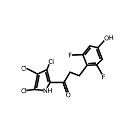 O=C(CCc1c(F)cc(O)cc1F)c1[nH]c(Cl)c(Cl)c1Cl